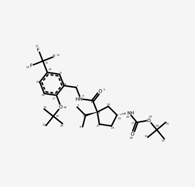 CC(C)[C@]1(C(=O)NCc2cc(C(F)(F)F)ccc2OC(C)(C)C)CC[C@@H](NC(=O)OC(C)(C)C)C1